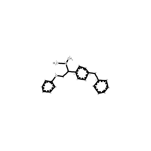 CN(C)C(COc1ccccc1)c1ccc(Cc2ccccc2)cc1